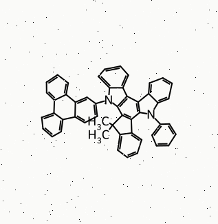 CC1(C)c2ccccc2-c2c1c1c(c3ccccc3n1-c1ccc3c4ccccc4c4ccccc4c3c1)c1c3ccccc3n(-c3ccccc3)c21